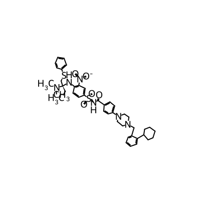 CC[C@@](CSc1ccccc1)(Nc1ccc(S(=O)(=O)NC(=O)c2ccc(N3CCN(Cc4ccccc4C4CCCCC4)CC3)cc2)cc1[N+](=O)[O-])N(C)C